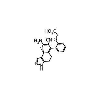 N#Cc1c(N)nc2c(c1-c1ccccc1OCC(=O)O)CCc1[nH]ncc1-2